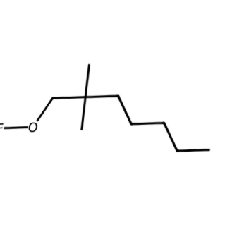 CCCCCC(C)(C)COF